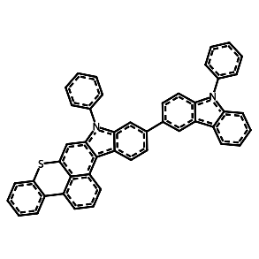 c1ccc(-n2c3ccccc3c3cc(-c4ccc5c6c7cccc8c7c(cc6n(-c6ccccc6)c5c4)Sc4ccccc4-8)ccc32)cc1